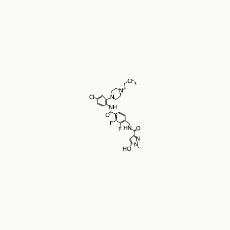 Cn1nc(C(=O)NCc2ccc(C(=O)Nc3ccc(Cl)cc3N3CCN(CCC(F)(F)F)CC3)c(F)c2F)cc1O